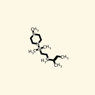 CC=C(C)[SiH2]CC[Si](C)(C)N1CCN(C)CC1